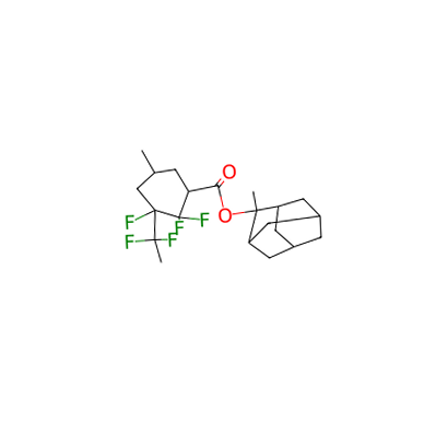 CC1CC(C(=O)OC2(C)C3CC4CC(C3)CC2C4)C(F)(F)C(F)(C(C)(F)F)C1